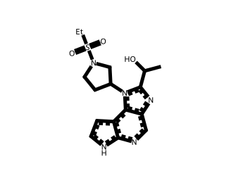 CCS(=O)(=O)N1CCC(n2c(C(C)O)nc3cnc4[nH]ccc4c32)C1